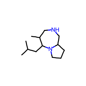 CC(C)CC1C(C)CNCC2CCCN21